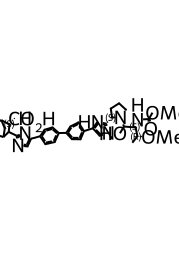 COC(=O)N[C@H](C(O)N1CCC[C@H]1c1ncc(-c2ccc(-c3ccc(-c4cnc(C5C6CCC(C6)[C@@H]5C(=O)O)[nH]4)cc3)cc2)[nH]1)[C@@H](C)OC